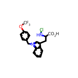 O=C(O)C(Cc1cn(Cc2ccc(OC(F)(F)F)cc2)c2ccccc12)NCl